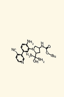 BC(B)(O)C1CC(NC(=O)OC(C)(C)C)CN1c1cc(-c2cnccc2C#N)ccc1N